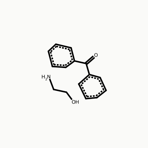 NCCO.O=C(c1ccccc1)c1ccccc1